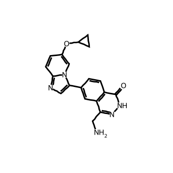 NCc1n[nH]c(=O)c2ccc(-c3cnc4ccc(OC5CC5)cn34)cc12